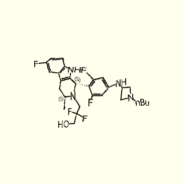 CCCCN1CC(Nc2cc(F)c([C@H]3c4[nH]c5ccc(F)cc5c4C[C@H](C)N3CC(F)(F)CO)c(F)c2)C1